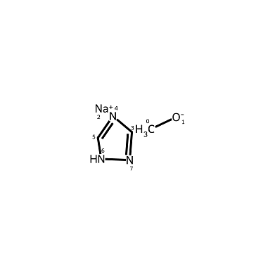 C[O-].[Na+].c1nc[nH]n1